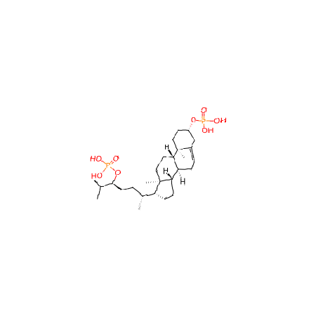 CC(C)[C@H](CC[C@@H](C)[C@H]1CC[C@H]2[C@@H]3CC=C4C[C@@H](OP(=O)(O)O)CC[C@]4(C)[C@H]3CC[C@]12C)OP(=O)(O)O